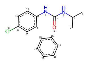 CC(C)NC(=O)Nc1ccc(Cl)cc1.c1ccccc1